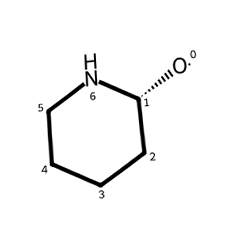 [O][C@@H]1CCCCN1